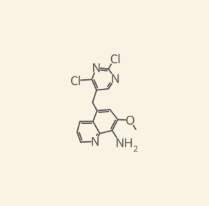 COc1cc(Cc2cnc(Cl)nc2Cl)c2cccnc2c1N